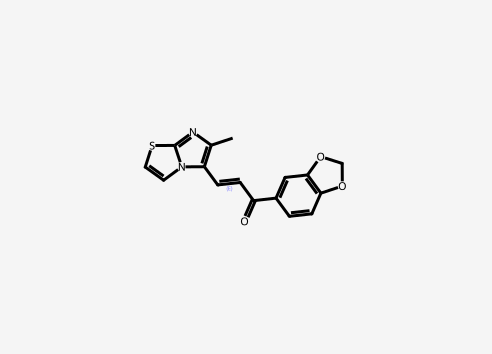 Cc1nc2sccn2c1/C=C/C(=O)c1ccc2c(c1)OCO2